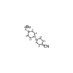 CCC(C)Cc1ccc(-c2ccc(C#N)cc2)cc1